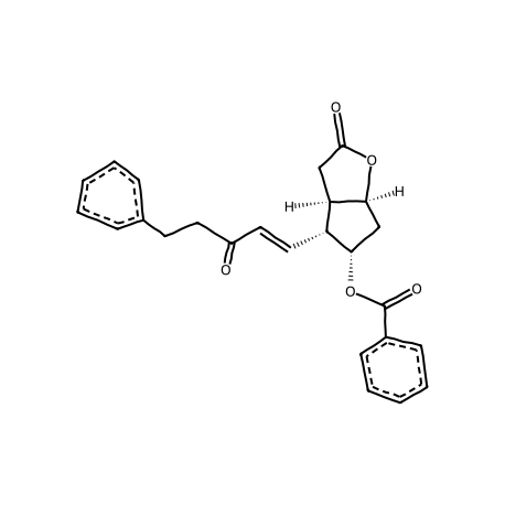 O=C(C=C[C@@H]1[C@H]2CC(=O)O[C@H]2C[C@@H]1OC(=O)c1ccccc1)CCc1ccccc1